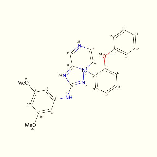 COc1cc(NC2=N[N+]3(c4ccccc4Oc4ccccc4)C=CN=CC3=N2)cc(OC)c1